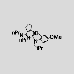 CCCN(CCC)c1nc(N(CC(C)C)c2ccc(OC)cc2Cl)nc2c1CCC2